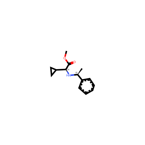 COC(=O)[C@@H](N[C@@H](C)c1ccccc1)C1CC1